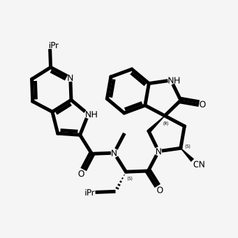 CC(C)C[C@@H](C(=O)N1C[C@]2(C[C@H]1C#N)C(=O)Nc1ccccc12)N(C)C(=O)c1cc2ccc(C(C)C)nc2[nH]1